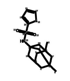 CC12CC3CC(C)(C1)CC(NS(=O)(=O)c1cccs1)(C3)C2